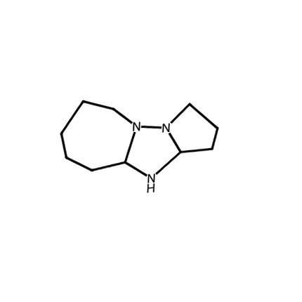 C1CCC2NC3CCCN3N2CC1